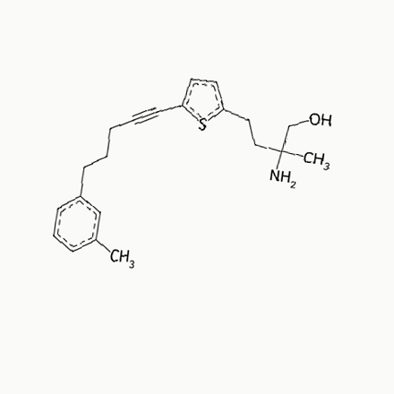 Cc1cccc(CCCC#Cc2ccc(CCC(C)(N)CO)s2)c1